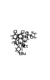 CCOc1cc(C(C)(C)C)ccc1C1=NC(C)(c2ccc(Cl)cc2)C(c2ccc(Cl)cc2)N1C(=O)N1CCN(C(=O)C2CCCO2)CC1